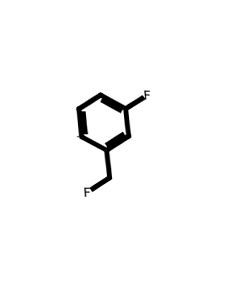 FCc1[c]ccc(F)c1